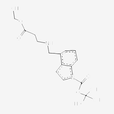 CCOC(=O)CCNCc1cccc2c1ccn2C(=O)OC(C)(C)C